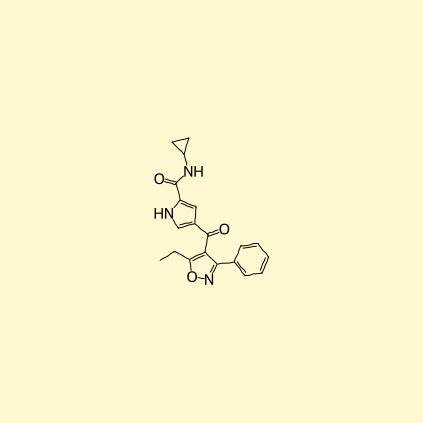 CCc1onc(-c2ccccc2)c1C(=O)c1c[nH]c(C(=O)NC2CC2)c1